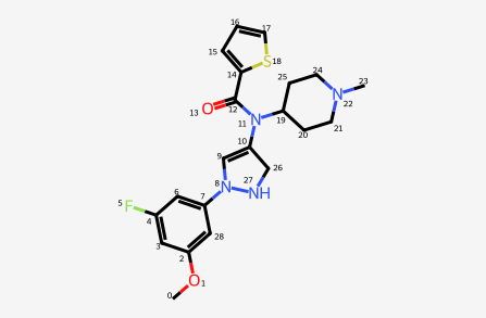 COc1cc(F)cc(N2C=C(N(C(=O)c3cccs3)C3CCN(C)CC3)CN2)c1